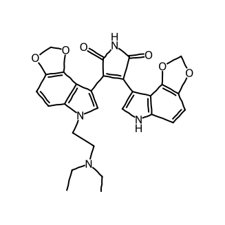 CCN(CC)CCn1cc(C2=C(c3c[nH]c4ccc5c(c34)OCO5)C(=O)NC2=O)c2c3c(ccc21)OCO3